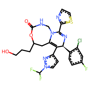 O=C1NCN2C(c3nccs3)=N[C@@H](c3ccc(F)cc3Cl)C(c3ccn(C(F)F)n3)=C2CC(CCCO)O1